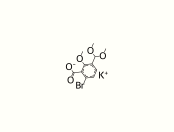 COc1c(C(OC)OC)ccc(Br)c1C(=O)[O-].[K+]